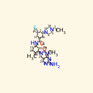 CCN1CCN(c2cc(CF)cc(C(=O)Nc3ccc(C)c(N4Cc5cnc(N)nc5N(C)C4=O)c3)c2)CC1